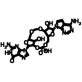 Nc1nc2c(ncn2C2OC3OCOC4C(COP(=O)(O)OC2C3O)OC(n2ccc3c(N)ncnc32)C4O)c(=O)[nH]1